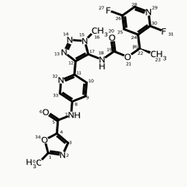 Cc1ncc(C(=O)Nc2ccc(-c3nnn(C)c3NC(=O)O[C@H](C)c3cc(F)cnc3F)nc2)o1